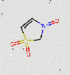 O=[N+]1C=CS(=O)(=O)C1